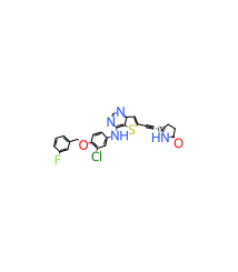 O=C1CC[C@@H](C#Cc2cc3ncnc(Nc4ccc(OCc5cccc(F)c5)c(Cl)c4)c3s2)N1